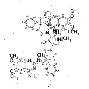 CNCC(C(=O)C(CNC)N1CCC(CN(C)c2nc(N)c3cc(OC)c(OC)cc3n2)(c2ccccc2)CC1)N1CCC(CN(C)c2nc(N)c3cc(OC)c(OC)cc3n2)(c2ccccc2)CC1